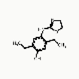 CCc1cc(NC2=NCCO2)c(CC)cc1O